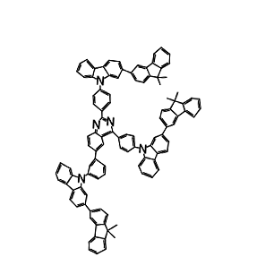 CC1(C)c2ccccc2-c2cc(-c3ccc4c5ccccc5n(-c5ccc(-c6nc(-c7ccc(-n8c9ccccc9c9ccc(-c%10ccc%11c(c%10)-c%10ccccc%10C%11(C)C)cc98)cc7)c7cc(-c8cccc(-n9c%10ccccc%10c%10ccc(-c%11ccc%12c(c%11)-c%11ccccc%11C%12(C)C)cc%109)c8)ccc7n6)cc5)c4c3)ccc21